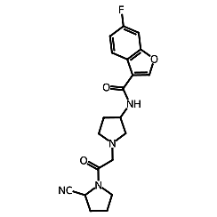 N#CC1CCCN1C(=O)CN1CCC(NC(=O)c2coc3cc(F)ccc23)C1